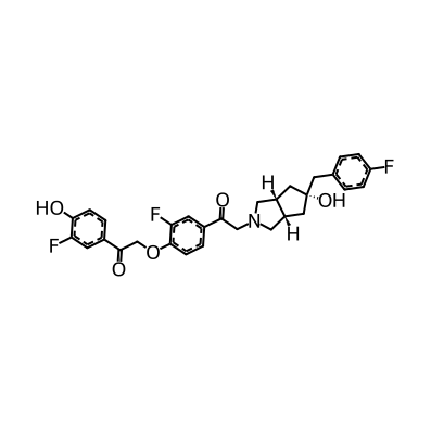 O=C(COc1ccc(C(=O)CN2C[C@@H]3C[C@@](O)(Cc4ccc(F)cc4)C[C@@H]3C2)cc1F)c1ccc(O)c(F)c1